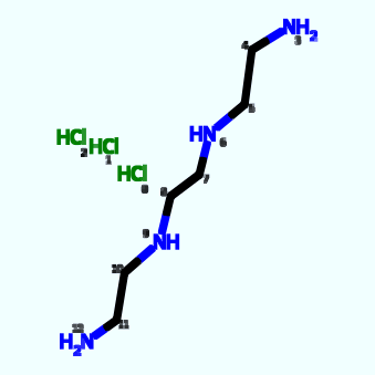 Cl.Cl.Cl.NCCNCCNCCN